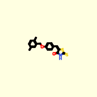 Cc1ccc(C)c(COc2ccc(/C=C3/SC(=S)NC3=O)cc2)c1